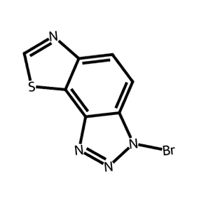 Brn1nnc2c3scnc3ccc21